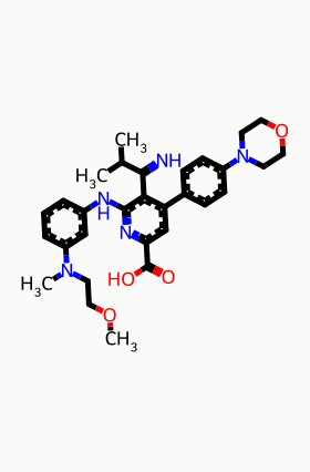 COCCN(C)c1cccc(Nc2nc(C(=O)O)cc(-c3ccc(N4CCOCC4)cc3)c2C(=N)C(C)C)c1